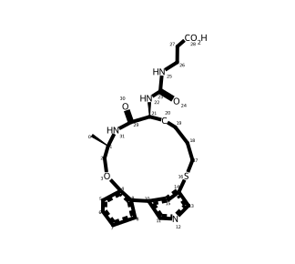 C[C@@H]1COc2ccccc2-c2cncc(c2)SCCCC[C@H](NC(=O)NCCC(=O)O)C(=O)N1